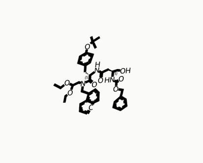 CCOC(CN(Cc1cccc2ccccc12)C(=O)[C@H](Cc1ccc(OC(C)(C)C)cc1)NC(=O)C[C@@H](CO)NC(=O)OCc1ccccc1)OCC